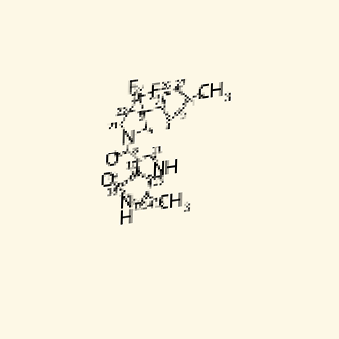 Cc1ccc(C23CN(C(=O)c4c[nH]c5c(C)c[nH]c(=O)c45)CC2C3(F)F)cc1